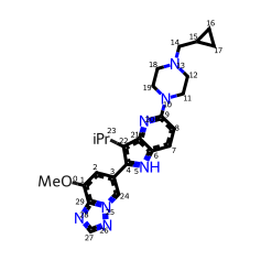 COc1cc(-c2[nH]c3ccc(N4CCN(CC5CC5)CC4)nc3c2C(C)C)cn2ncnc12